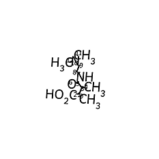 CC(C(=O)O)C(C)C(=O)NCCN(C)C